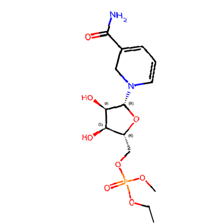 CCOP(=O)(OC)OC[C@H]1O[C@@H](N2C=CC=C(C(N)=O)C2)[C@H](O)[C@@H]1O